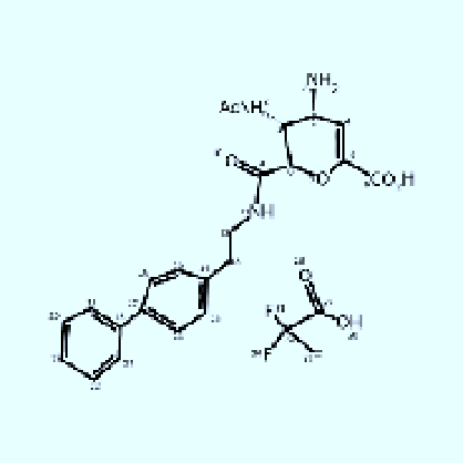 CC(=O)N[C@@H]1[C@@H](N)C=C(C(=O)O)O[C@H]1C(=O)NCCc1ccc(-c2ccccc2)cc1.O=C(O)C(F)(F)F